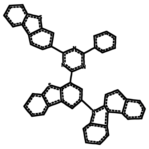 c1ccc(-c2nc(-c3ccc4c(c3)sc3ccccc34)nc(-c3cc(-n4c5ccccc5c5c6ccccc6ccc54)cc4c3sc3ccccc34)n2)cc1